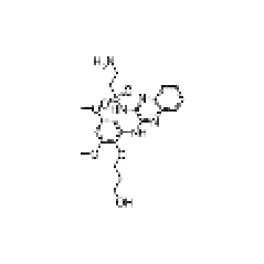 COc1cc(Nc2nc3ccccc3nc2NS(=O)(=O)CCN)c(OCCCO)c(OC)c1